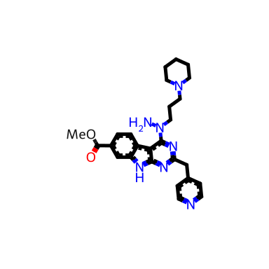 COC(=O)c1ccc2c(c1)[nH]c1nc(Cc3ccncc3)nc(N(N)CCCN3CCCCC3)c12